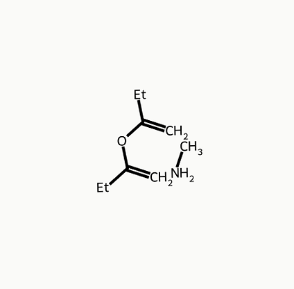 C=C(CC)OC(=C)CC.CN